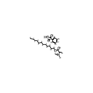 CCCCCCCCCCCCOC(=O)C(C)N(C)C.O=S(=O)(O)c1ccccc1